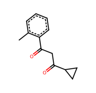 Cc1ccccc1C(=O)CC(=O)C1CC1